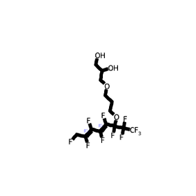 OCC(O)COCCCOC(F)(/C(F)=C(F)/C(F)=C(\F)CF)C(F)(F)C(F)(F)F